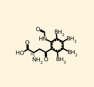 Bc1c(B)c(B)c(C(=O)C[C@H](N)C(=O)O)c(NC=O)c1B